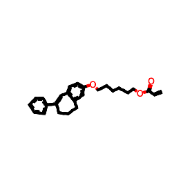 C=CC(=O)OCCCCCCOc1ccc2c(c1)CCCC(c1ccccc1)=C2